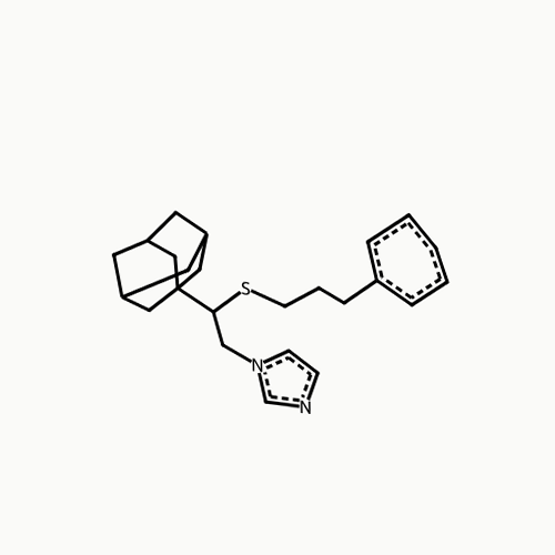 c1ccc(CCCSC(Cn2ccnc2)C23CC4CC(CC(C4)C2)C3)cc1